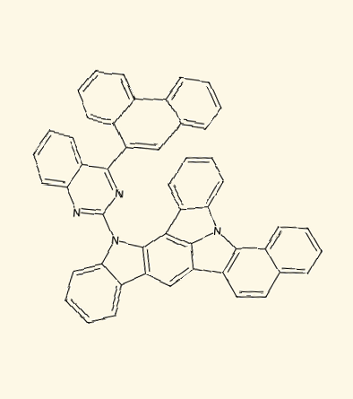 c1ccc2c(c1)cc(-c1nc(-n3c4ccccc4c4cc5c6ccc7ccccc7c6n6c7ccccc7c(c43)c56)nc3ccccc13)c1ccccc12